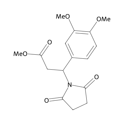 COC(=O)CC(c1ccc(OC)c(OC)c1)N1C(=O)CCC1=O